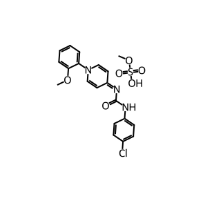 COS(=O)(=O)O.COc1ccccc1-n1ccc(=NC(=O)Nc2ccc(Cl)cc2)cc1